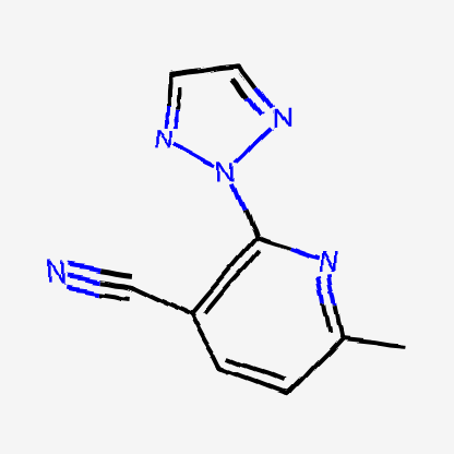 Cc1ccc(C#N)c(-n2nccn2)n1